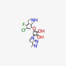 Cc1ncnc2c1ccn2[C@@H]1C[C@H](Oc2cc(Cl)c(F)c3c2CNCC3)[C@@H](O)[C@H]1O